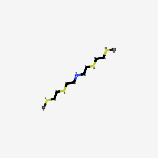 CCSCCSCC[N]CCSCCSCC